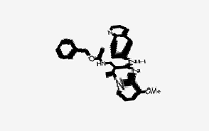 C=C(NCC1=C(Nc2ccc3ncccc3c2)N=C2C(OC)=CC=CN2C1=C)OCc1ccccc1